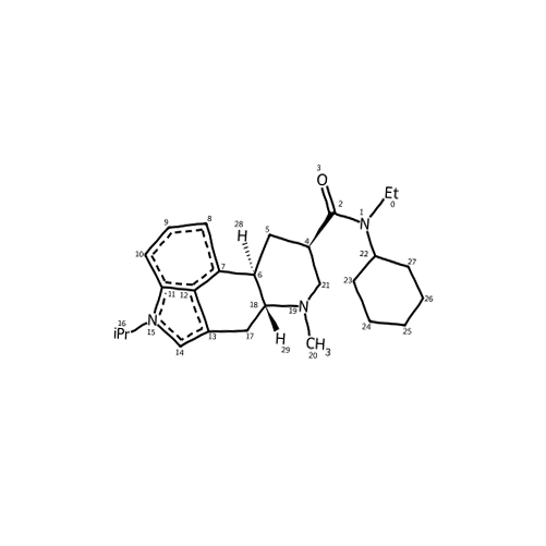 CCN(C(=O)[C@@H]1C[C@@H]2c3cccc4c3c(cn4C(C)C)C[C@H]2N(C)C1)C1CCCCC1